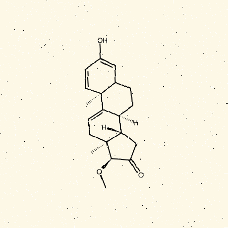 CO[C@@H]1C(=O)C[C@H]2[C@@H]3CCC4C=C(O)C=C[C@]4(C)C3=CC[C@]12C